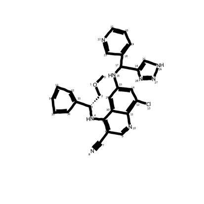 COC[C@H](Nc1c(C#N)cnc2c(Cl)cc(NC(c3cccnc3)c3c[nH]nn3)cc12)c1ccccc1